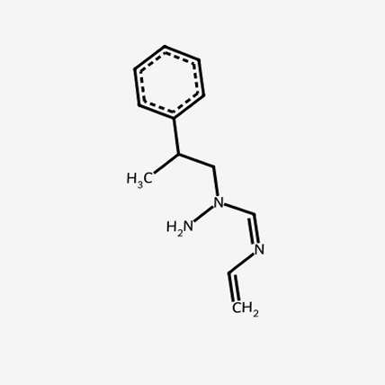 C=C/N=C\N(N)CC(C)c1ccccc1